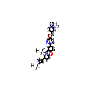 Cc1cc(-c2ccc(=O)n([C@H](C)c3cccc(-c4ncc(OCC5CCN(C)CC5)cn4)c3)c2)sn1